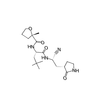 CC(C)(C)C[C@H](NC(=O)[C@]1(C)CCCO1)C(=O)N[C@H](C#N)C[C@@H]1CCNC1=O